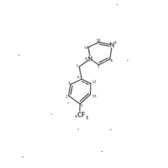 FC(F)(F)c1ccc(CN2C=CN=CC2)cc1